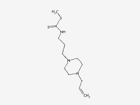 C=CCN1CCN(CCCNC(=S)SC)CC1